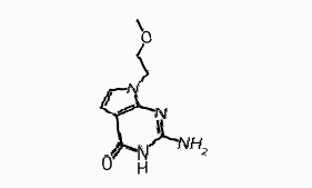 COCCn1ccc2c(=O)[nH]c(N)nc21